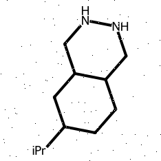 CC(C)C1CCC2CNNCC2C1